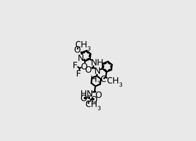 COc1ccc(NC(=O)N(c2ccccc2C(C)C)C2CCC(C(=O)NS(C)(=O)=O)CC2)c(OC(F)F)n1